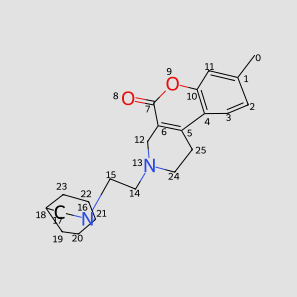 Cc1ccc2c3c(c(=O)oc2c1)CN(CCN1CC2CCC1CC2)CC3